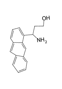 NC(CCO)c1cccc2cc3ccccc3cc12